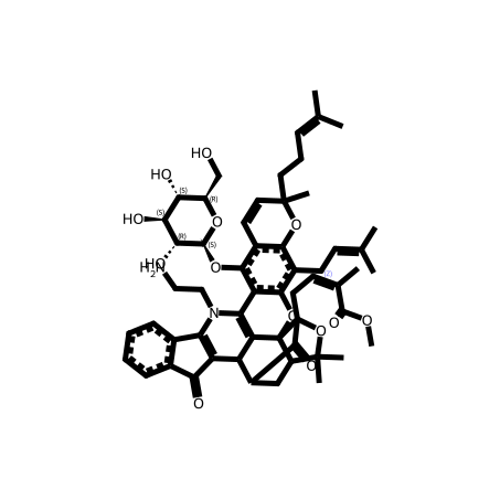 COC(=O)/C(C)=C\CC12OC(C)(C)C3CC(C1=O)C1C4=C(c5ccccc5C4=O)N(CCN)C4=C1C32Oc1c(CC=C(C)C)c2c(c(O[C@@H]3O[C@H](CO)[C@@H](O)[C@H](O)[C@H]3O)c14)C=CC(C)(CCC=C(C)C)O2